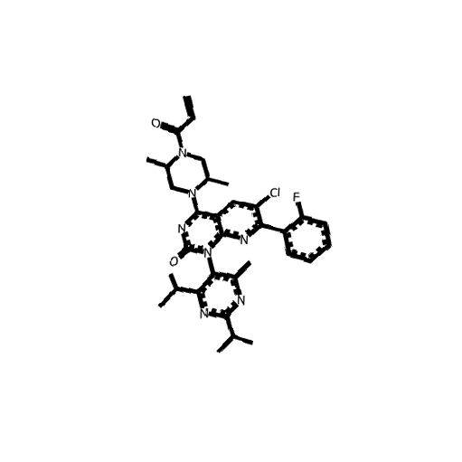 C=CC(=O)N1CC(C)N(c2nc(=O)n(-c3c(C)nc(C(C)C)nc3C(C)C)c3nc(-c4ccccc4F)c(Cl)cc23)CC1C